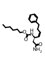 CCCCCCOC(=O)N[C@@H](/C=C\CCc1ccccc1)CC(N)=O